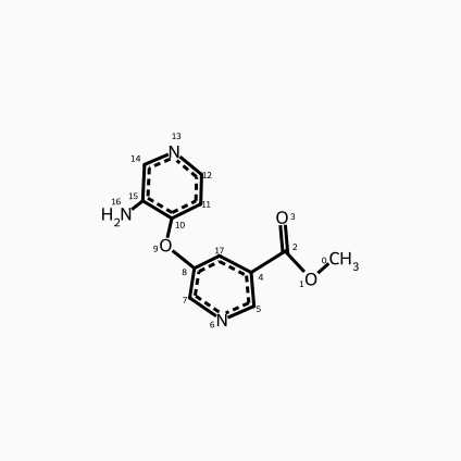 COC(=O)c1cncc(Oc2ccncc2N)c1